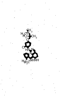 CN/C(=C1\C(=N)CCc2cnc(Nc3ccc(OCC(C)(C)CN(C)C)cc3Cl)nc21)c1ccccc1C